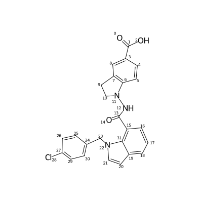 O=C(O)c1ccc2c(c1)CCN2NC(=O)c1cccc2ccn(Cc3ccc(Cl)cc3)c12